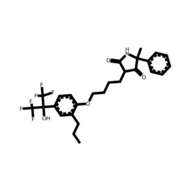 CCCc1cc(C(O)(C(F)(F)F)C(F)(F)F)ccc1OCCCCC1C(=O)NC(C)(c2ccccc2)C1=O